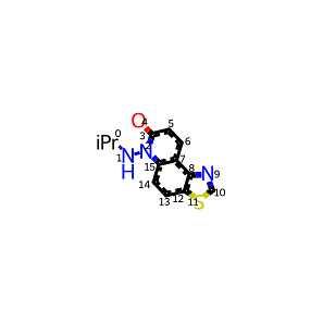 CC(C)Nn1c(=O)ccc2c3ncsc3ccc21